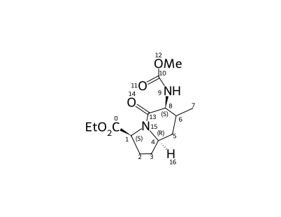 CCOC(=O)[C@@H]1CC[C@@H]2CC(C)[C@H](NC(=O)OC)C(=O)N21